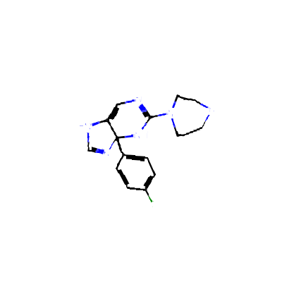 Clc1ccc(C23N=CNC2=CN=C(N2CCNCC2)N3)cc1